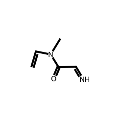 C=CN(C)C(=O)C=N